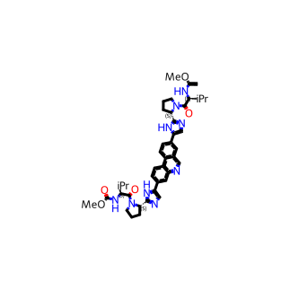 C=C(N[C@H](C(=O)N1CCC[C@H]1c1ncc(-c2ccc3c(cnc4cc(-c5cnc([C@@H]6CCCN6C(=O)[C@@H](NC(=O)OC)C(C)C)[nH]5)ccc43)c2)[nH]1)C(C)C)OC